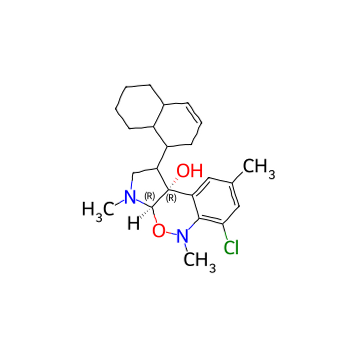 Cc1cc(Cl)c2c(c1)[C@]1(O)C(C3CC=CC4CCCCC43)CN(C)[C@@H]1ON2C